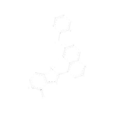 O=c1[nH]ccc2[nH]c(-c3cccc4ccc(Oc5ccccc5)nc34)cc12